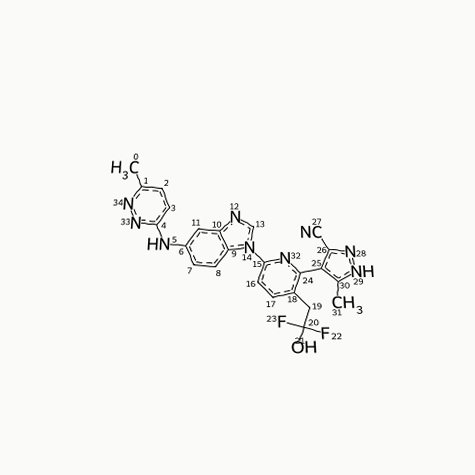 Cc1ccc(Nc2ccc3c(c2)ncn3-c2ccc(CC(O)(F)F)c(-c3c(C#N)n[nH]c3C)n2)nn1